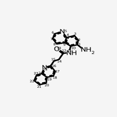 Nc1ccc2ncccc2c1NC(=O)CCc1ccc2ccccc2n1